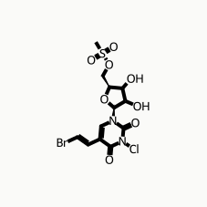 CS(=O)(=O)OC[C@@H]1O[C@H](n2cc(/C=C/Br)c(=O)n(Cl)c2=O)C(O)C1O